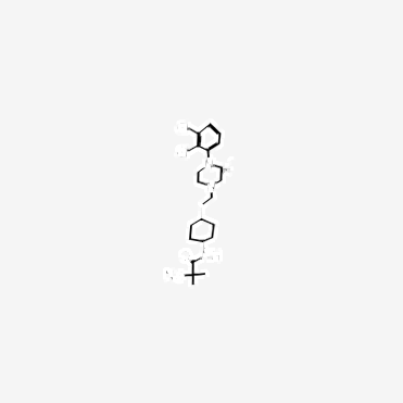 C[C@@H]1CN(CC[C@H]2CC[C@H](NC(=O)C(C)(C)C#N)CC2)CCN1c1cccc(Cl)c1Cl